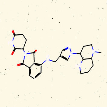 CN1CCC(n2cc(CNc3cccc4c3C(=O)N(C3CCC(=O)NC3=O)C4=O)cn2)C2NCCCC21